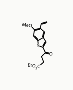 C=Cc1cc2cc(C(=O)CCC(=O)OCC)sc2cc1OC